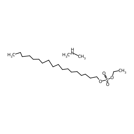 CCCCCCCCCCCCCCCCCCOS(=O)(=O)OCC.CNC